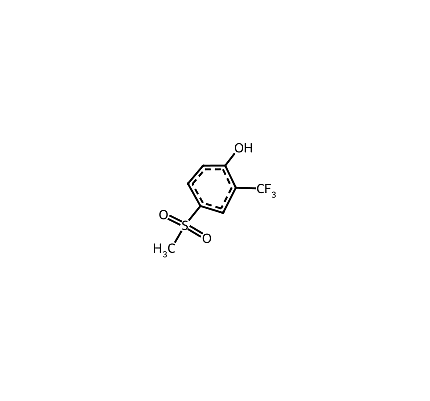 CS(=O)(=O)c1ccc(O)c(C(F)(F)F)c1